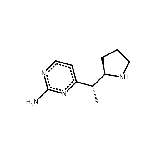 C[C@H](c1ccnc(N)n1)[C@H]1CCCN1